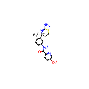 C[C@@]1(c2cccc(NC(=O)c3ccc(O)cn3)c2)CCSC(N)=N1